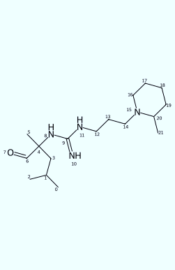 CC(C)CC(C)(C=O)NC(=N)NCCCN1CCCCC1C